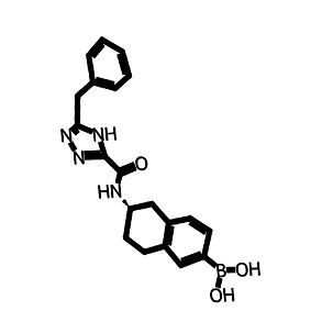 O=C(N[C@H]1CCc2cc(B(O)O)ccc2C1)c1nnc(Cc2ccccc2)[nH]1